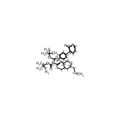 COC[C@H]1CC2CSC(N(C(=O)OC(C)(C)C)C(=O)OC(C)(C)C)=N[C@@]2(c2cc(-c3cccnc3F)ccc2F)CO1